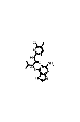 CC(C)[C@H](Sc1nc(N)nc2nc[nH]c12)C(=O)Nc1ncc(F)c(Cl)n1